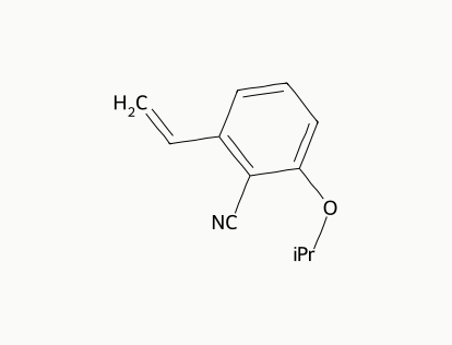 C=Cc1cccc(OC(C)C)c1C#N